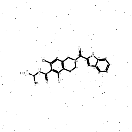 N[C@H](NC(=O)c1c(Cl)cc2c(c1Cl)CCN(C(=O)c1cc3ccccc3o1)C2)C(=O)O